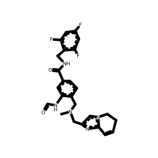 CN(Cc1cn2c(n1)C=CCC2)Cc1ccc(C(=O)NCc2c(F)cc(F)cc2F)cc1NC=O